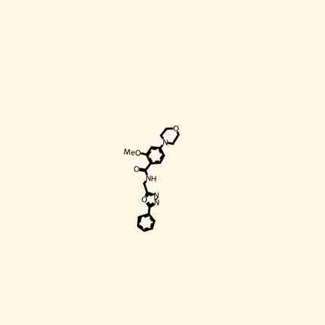 COc1cc(N2CCOCC2)ccc1C(=O)NCc1nnc(-c2ccccc2)o1